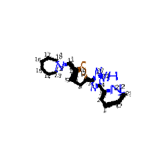 c1ccc(-c2nc(-c3ccc(CN4CCCCCC4)s3)n[nH]2)nc1